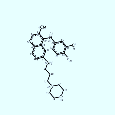 N#Cc1cnc2cnc(NCCCN3CCOCC3)cc2c1Nc1ccc(F)c(Cl)c1